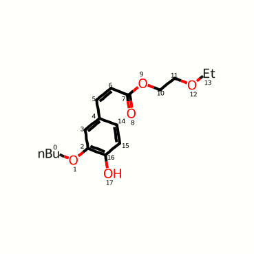 CCCCOc1cc(/C=C\C(=O)OCCOCC)ccc1O